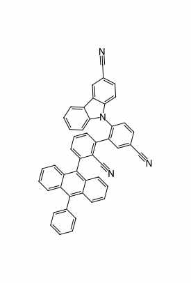 N#Cc1ccc(-n2c3ccccc3c3cc(C#N)ccc32)c(-c2cccc(-c3c4ccccc4c(-c4ccccc4)c4ccccc34)c2C#N)c1